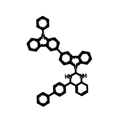 C1=CCC2NC(n3c4ccccc4c4cc(-c5ccc6c(c5)c5ccccc5n6-c5ccccc5)ccc43)NC(c3ccc(-c4ccccc4)cc3)C2=C1